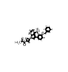 CN(C)C(=O)[C@H]1C[C@@H](n2cc(-c3cccc(OCc4ccccc4)c3)c3c(N)ncnc32)C1